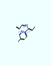 C=C\C=N/C(=C\C)C(=C/C)/N=C\C(=C)C